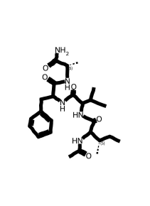 CC[C@H](C)C(NC(C)=O)C(=O)NC(C(=O)NC(Cc1ccccc1)C(=O)N[C@@H](C)C(N)=O)C(C)C